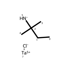 CCC(C)(C)[NH-].[Cl-].[Ta+5]